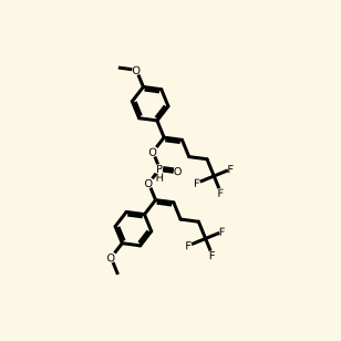 COc1ccc(C(=CCCC(F)(F)F)O[PH](=O)OC(=CCCC(F)(F)F)c2ccc(OC)cc2)cc1